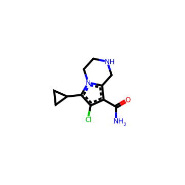 NC(=O)c1c(Cl)c(C2CC2)n2c1CNCC2